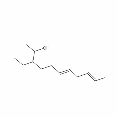 CC=CCC=CCCN(CC)C(C)O